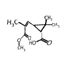 COC(=O)/C(C)=C\C1[C@@H](C(=O)O)C1(C)C